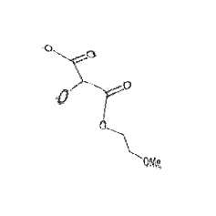 COCCOC(=O)C([O])C([O])=O